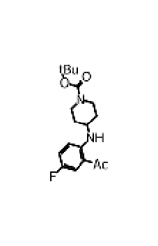 CC(=O)c1cc(F)ccc1NC1CCN(C(=O)OC(C)(C)C)CC1